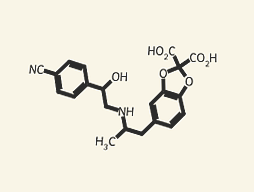 CC(Cc1ccc2c(c1)OC(C(=O)O)(C(=O)O)O2)NCC(O)c1ccc(C#N)cc1